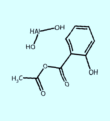 CC(=O)OC(=O)c1ccccc1O.[OH][AlH][OH]